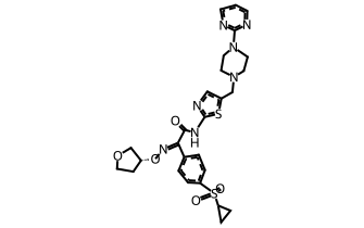 O=C(Nc1ncc(CN2CCN(c3ncccn3)CC2)s1)/C(=N/O[C@@H]1CCOC1)c1ccc(S(=O)(=O)C2CC2)cc1